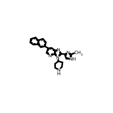 Cc1nc(-c2nc3cc(-c4ccc5ccccc5c4)cnc3n2C2CCNCC2)c[nH]1